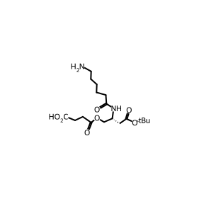 CC(C)(C)OC(=O)C[C@H](COC(=O)CCC(=O)O)NC(=O)CCCCCN